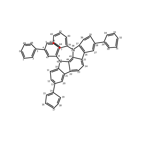 c1ccc(-c2cccc(-n3c4ccc(-c5ccccc5)cc4c4ccc5c6cc(-c7ccccc7)ccc6n(-c6ccccc6)c5c43)c2)cc1